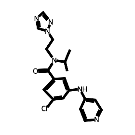 CC(C)N(CCn1cncn1)C(=O)c1cc(Cl)cc(Nc2ccncc2)c1